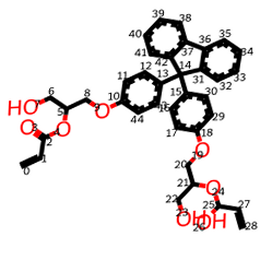 C=CC(=O)OC(CO)COc1ccc(C2(c3ccc(OCC(CO)OC(O)C=C)cc3)c3ccccc3-c3ccccc32)cc1